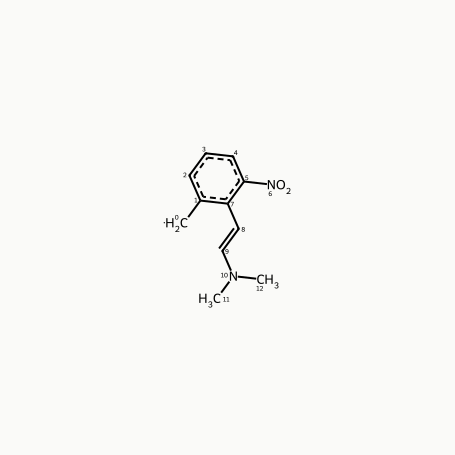 [CH2]c1cccc([N+](=O)[O-])c1C=CN(C)C